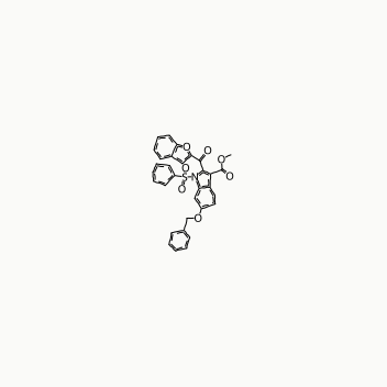 COC(=O)c1c(C(=O)c2cc3ccccc3o2)n(S(=O)(=O)c2ccccc2)c2cc(OCc3ccccc3)ccc12